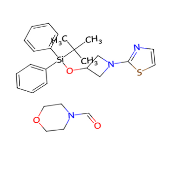 CC(C)(C)[Si](OC1CN(c2nccs2)C1)(c1ccccc1)c1ccccc1.O=CN1CCOCC1